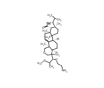 CO[C@H](C)[C@H](OCCN)C1(C)COC[C@@]2(C)C3=CC[C@@]4(C)[C@H](C(=O)O)[C@@](C)([C@H](C)C(C)C)CC[C@]4(C)[C@H]3CC[C@@H]12